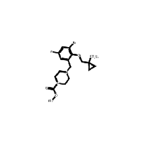 CCOC(=O)C1(COc2c(Br)cc(F)cc2CN2CCN(C(=O)OC(C)(C)C)CC2)CC1